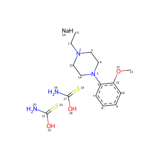 CCN1CCN(c2ccccc2OC)CC1.NC(O)=S.NC(O)=S.[NaH]